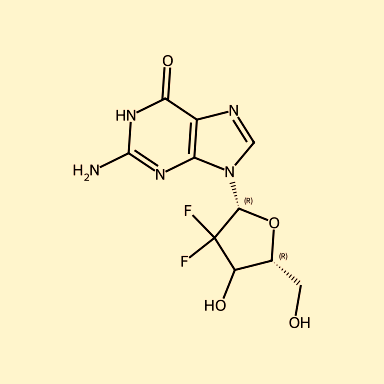 Nc1nc2c(ncn2[C@@H]2O[C@H](CO)C(O)C2(F)F)c(=O)[nH]1